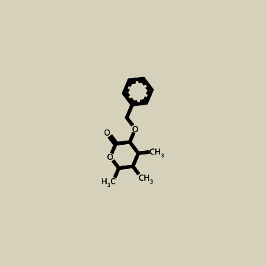 CC1OC(=O)C(OCc2ccccc2)C(C)C1C